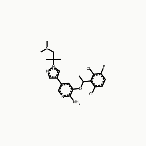 CC(Oc1cc(-c2cnn(C(C)(C)CN(C)C)c2)cnc1N)c1c(Cl)ccc(F)c1Cl